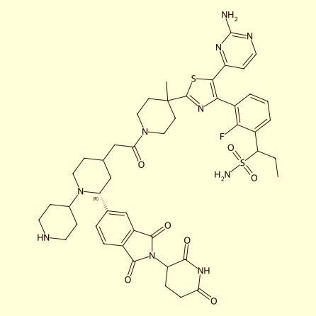 CCC(c1cccc(-c2nc(C3(C)CCN(C(=O)CC4CCN(C5CCNCC5)[C@@H](c5ccc6c(c5)C(=O)N(C5CCC(=O)NC5=O)C6=O)C4)CC3)sc2-c2ccnc(N)n2)c1F)S(N)(=O)=O